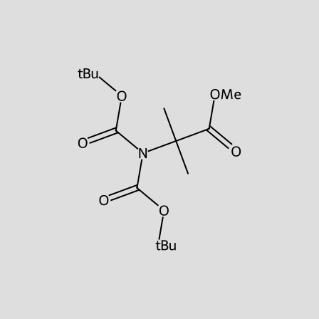 COC(=O)C(C)(C)N(C(=O)OC(C)(C)C)C(=O)OC(C)(C)C